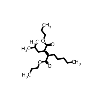 CCCCCC(C(=O)OCCC)=C(CC(C)C)C(=O)OCCC